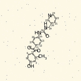 Cc1cc(O)ccc1S(=O)(=O)c1ccc(NC(=O)NCc2cccnc2)cc1